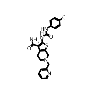 NC(=O)c1c(NC(=O)Nc2ccc(Cl)cc2)sc2c1CCN(Cc1ccccn1)C2